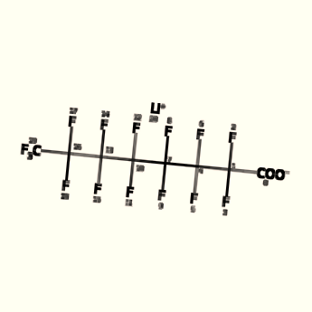 O=C([O-])C(F)(F)C(F)(F)C(F)(F)C(F)(F)C(F)(F)C(F)(F)C(F)(F)F.[Li+]